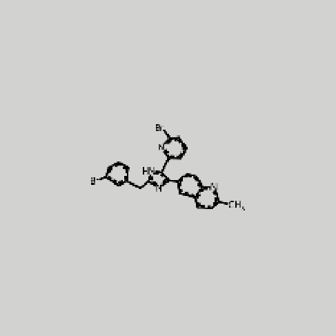 Cc1ccc2cc(-c3nc(Cc4cccc(Br)c4)[nH]c3-c3cccc(Br)n3)ccc2n1